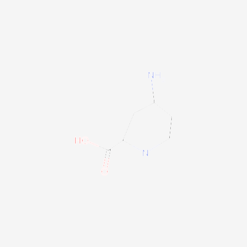 NC1CC[N]C(C(=O)O)C1